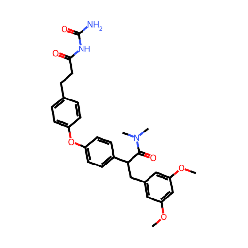 COc1cc(CC(C(=O)N(C)C)c2ccc(Oc3ccc(CCC(=O)NC(N)=O)cc3)cc2)cc(OC)c1